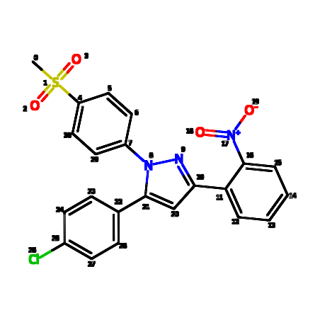 CS(=O)(=O)c1ccc(-n2nc(-c3ccccc3[N+](=O)[O-])cc2-c2ccc(Cl)cc2)cc1